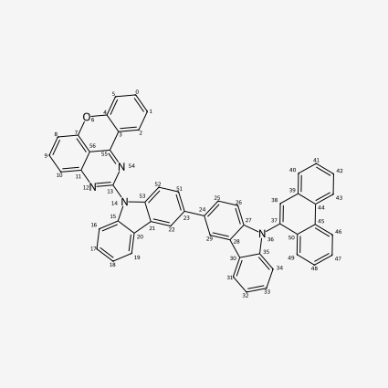 c1ccc2c(c1)Oc1cccc3nc(-n4c5ccccc5c5cc(-c6ccc7c(c6)c6ccccc6n7-c6cc7ccccc7c7ccccc67)ccc54)nc-2c13